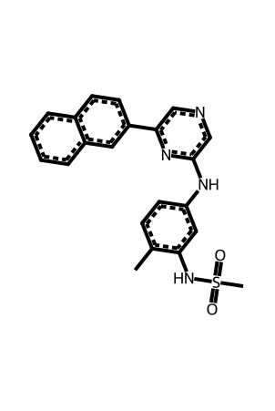 Cc1ccc(Nc2cncc(-c3ccc4ccccc4c3)n2)cc1NS(C)(=O)=O